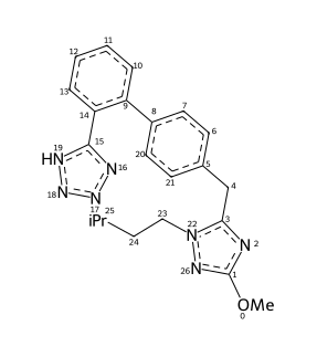 COc1nc(Cc2ccc(-c3ccccc3-c3nnn[nH]3)cc2)n(CCC(C)C)n1